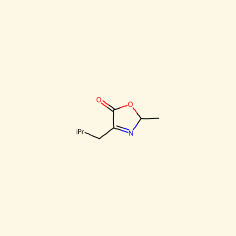 CC(C)CC1=NC(C)OC1=O